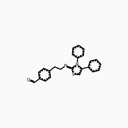 O=Cc1ccc(CC/N=c2\scc(-c3ccccc3)n2-c2ccccc2)cc1